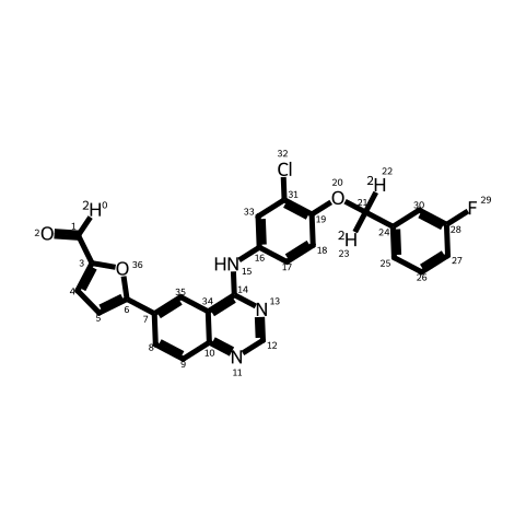 [2H]C(=O)c1ccc(-c2ccc3ncnc(Nc4ccc(OC([2H])([2H])c5cccc(F)c5)c(Cl)c4)c3c2)o1